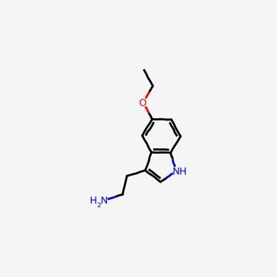 CCOc1ccc2[nH]cc(CCN)c2c1